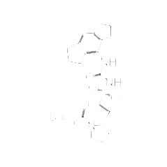 CC(C)(C)OC(=O)N1CCC[C@@H]1/C=C/S(=O)(=O)NC(=O)Nc1c2c(cc3c1CCC3)CCC2